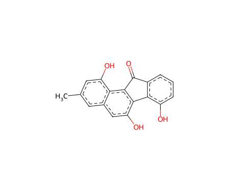 Cc1cc(O)c2c3c(c(O)cc2c1)-c1c(O)cccc1C3=O